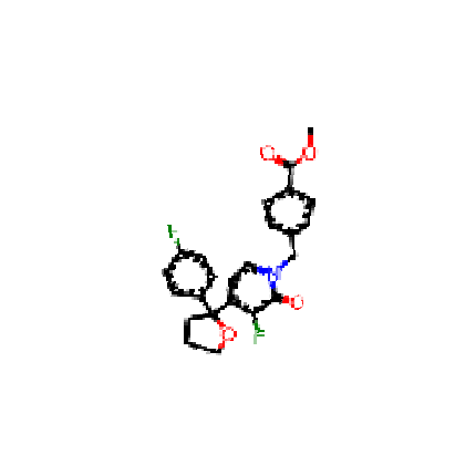 COC(=O)c1ccc(Cn2ccc(C3(c4ccc(F)cc4)CCCO3)c(F)c2=O)cc1